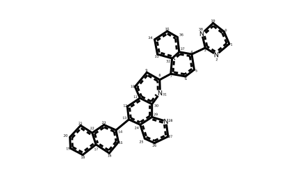 c1cnc(-c2ccc(-c3ccc4cc(-c5ccc6ccccc6c5)c5cccnc5c4n3)c3ccccc23)nc1